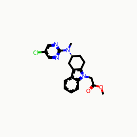 COC(=O)Cn1c2c(c3ccccc31)C[C@H](N(C)c1ncc(Cl)cn1)CC2